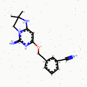 CC1(C)Cn2c(cc(OCc3cccc(C#N)c3)nc2=N)N1